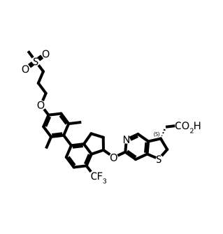 Cc1cc(OCCCS(C)(=O)=O)cc(C)c1-c1ccc(C(F)(F)F)c2c1CCC2Oc1cc2c(cn1)[C@H](CC(=O)O)CS2